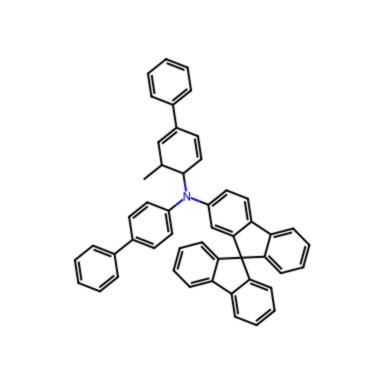 CC1C=C(c2ccccc2)C=CC1N(c1ccc(-c2ccccc2)cc1)c1ccc2c(c1)C1(c3ccccc3-c3ccccc31)c1ccccc1-2